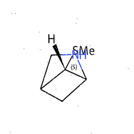 CS[C@H]1C2CNC1C2